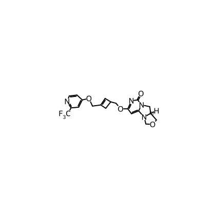 O=c1nc(OCC2C=C(COc3ccnc(C(F)(F)F)c3)C2)cc2n1C[C@@H]1COCN21